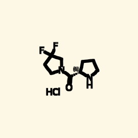 Cl.O=C([C@@H]1CCCN1)N1CCC(F)(F)C1